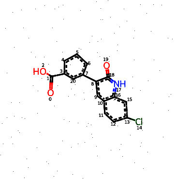 O=C(O)c1cccc(-c2cc3ccc(Cl)cc3[nH]c2=O)c1